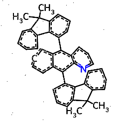 CC1(C)c2ccccc2-c2c(-c3c4ccccc4c(-c4cccc5c4-c4ccccc4C5(C)C)c4ncccc34)cccc21